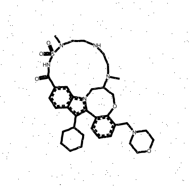 CN1CCNCCN(C)S(=O)(=O)NC(=O)c2ccc3c(C4CCCCC4)c4n(c3c2)CC1COc1c(CN2CCOCC2)cccc1-4